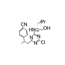 CC(C)C[C@H](CO)Nc1nc(Cl)nc(CC(C)c2ccc(C#N)cc2)n1